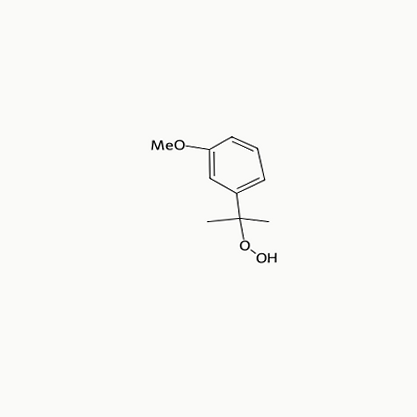 COc1cccc(C(C)(C)OO)c1